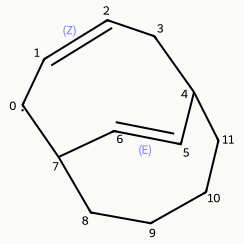 [CH]1/C=C\CC2/C=C/C1CCCC2